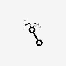 Cc1cc(C#Cc2ccccc2)ccc1OC(F)F